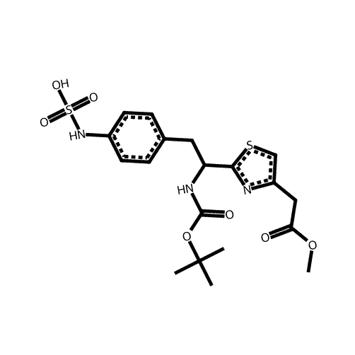 COC(=O)Cc1csc(C(Cc2ccc(NS(=O)(=O)O)cc2)NC(=O)OC(C)(C)C)n1